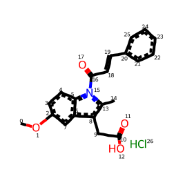 COc1ccc2c(c1)c(CC(=O)O)c(C)n2C(=O)C=Cc1ccccc1.Cl